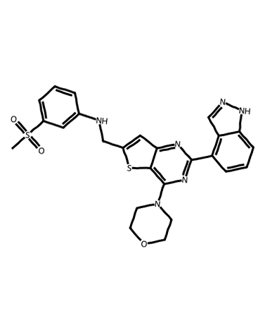 CS(=O)(=O)c1cccc(NCc2cc3nc(-c4cccc5[nH]ncc45)nc(N4CCOCC4)c3s2)c1